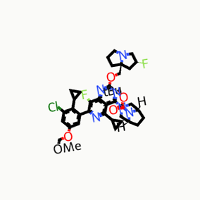 COCOc1cc(Cl)c(C2CC2)c(-c2nc(C3CC3)c3c(N4C[C@H]5CC[C@@H](C4)N5C(=O)OC(C)(C)C)nc(OC[C@@]45CCCN4C[C@H](F)C5)nc3c2F)c1